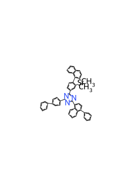 C[Si]1(C)c2cc(-c3nc(-c4ccc(-c5ccccc5)cc4)nc(-c4ccc(-c5ccccc5)c5ccccc45)n3)ccc2-c2c1ccc1ccccc21